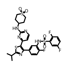 CC(C)c1nc(-c2ccc(F)c(NS(=O)(=O)c3cc(F)ccc3F)c2)c(-c2ccnc(NC3CCS(=O)(=O)CC3)n2)s1